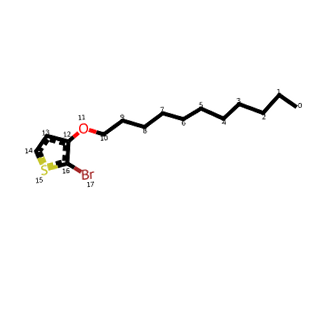 CCCCCCCCCCCOc1ccsc1Br